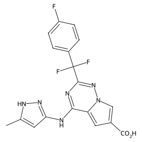 Cc1cc(Nc2nc(C(F)(F)c3ccc(F)cc3)nn3cc(C(=O)O)cc23)n[nH]1